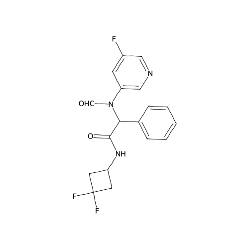 O=CN(c1cncc(F)c1)C(C(=O)NC1CC(F)(F)C1)c1ccccc1